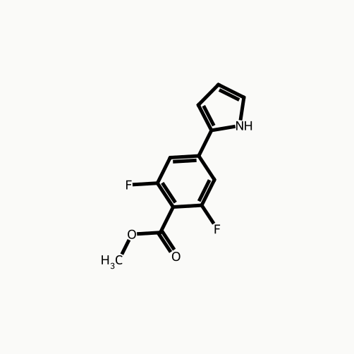 COC(=O)c1c(F)cc(-c2ccc[nH]2)cc1F